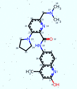 Cc1cc(O)nc2ccc(NC(=O)c3nc(CN(C)C)ccc3N3CCCC3)cc12